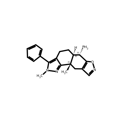 Cn1nc2c(c1-c1ccccc1)CC[C@H]1[C@H](P)c3oncc3C[C@]21C